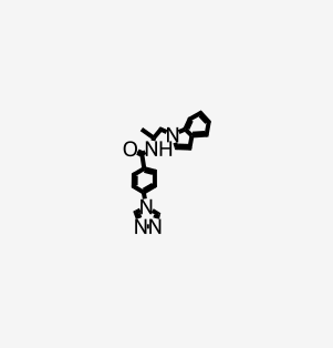 CC(Cn1ccc2ccccc21)NC(=O)c1ccc(-n2cnnc2)cc1